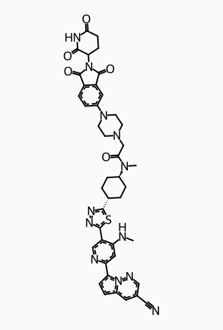 CNc1cc(-c2ccc3cc(C#N)cnn23)ncc1-c1nnc([C@H]2CC[C@H](N(C)C(=O)CN3CCN(c4ccc5c(c4)C(=O)N(C4CCC(=O)NC4=O)C5=O)CC3)CC2)s1